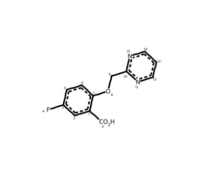 O=C(O)c1cc(F)ccc1OCc1ncccn1